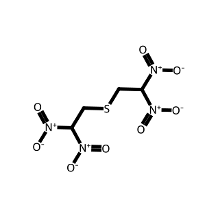 O=[N+]([O-])C(CSCC([N+](=O)[O-])[N+](=O)[O-])[N+](=O)[O-]